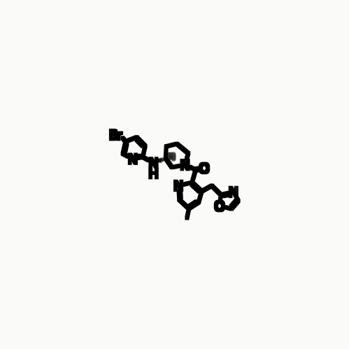 Cc1cnc(C(=O)N2CCC[C@@H](Nc3ccc(Br)cn3)C2)c(Cc2ncco2)c1